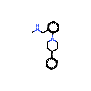 CNCc1ccccc1N1CCC(c2ccccc2)CC1